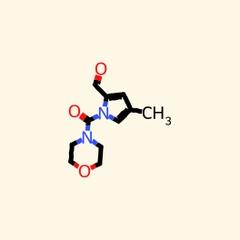 Cc1cc(C=O)n(C(=O)N2CCOCC2)c1